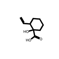 C=CC1CCCCC1(O)C(=O)O